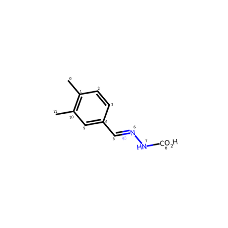 Cc1ccc(/C=N/NC(=O)O)cc1C